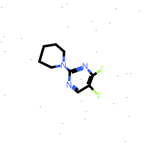 Fc1cnc(N2CCCCC2)nc1F